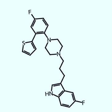 Fc1ccc(N2CCN(CCCc3c[nH]c4ccc(F)cc34)CC2)c(-c2cccs2)c1